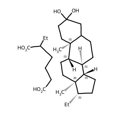 CCC(CCCC(=O)O)C(=O)O.CC[C@H]1CC[C@H]2[C@@H]3CCC4CC(O)(O)CC[C@]4(C)[C@H]3CC[C@]12C